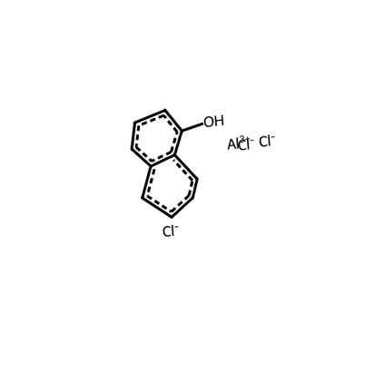 Oc1cccc2ccccc12.[Al+3].[Cl-].[Cl-].[Cl-]